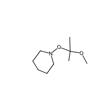 COC(C)(C)ON1CCCCC1